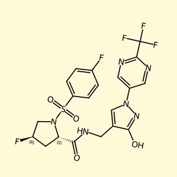 O=C(NCc1cn(-c2cnc(C(F)(F)F)nc2)nc1O)[C@@H]1C[C@@H](F)CN1S(=O)(=O)c1ccc(F)cc1